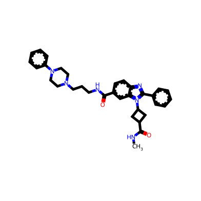 CNC(=O)C1CC(n2c(-c3ccccc3)nc3ccc(C(=O)NCCCN4CCN(c5ccccc5)CC4)cc32)C1